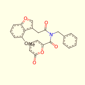 COc1cccc2occ(CC(=O)N(Cc3ccccc3)C(=O)c3cccc(=O)o3)c12